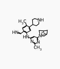 Cc1nc(Nc2cc(C3CCNCC3)c(C)cc2C=N)cc(N2CC3CC(C2)O3)n1